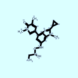 CCN(O)SNc1cc(-c2cc(C)c(=O)n(C)c2)c2nc(C3CC3)n(C)c2c1